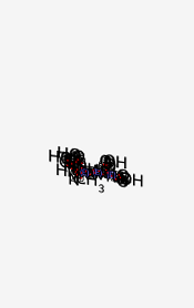 Cc1c(C#N)c(Nc2ccc(S(=O)(=O)O)cc2)nc(Nc2ccc(S(=O)(=O)O)cc2)c1/N=N/c1ccc(/N=N/c2ccc(/N=N/c3ccc(S(=O)(=O)O)cc3)c3cc(S(=O)(=O)O)ccc23)cc1